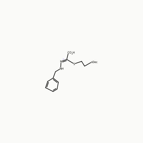 CCCCCCCCCCCCS/C(=N\NCc1ccccc1)C(=O)O